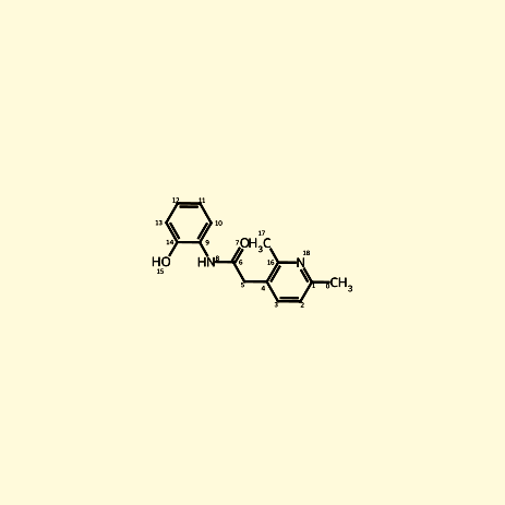 Cc1ccc(CC(=O)Nc2ccccc2O)c(C)n1